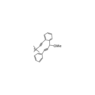 COC(C#Cc1ccccc1)c1ccccc1C#C[Si](C)(C)C